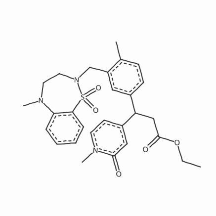 CCOC(=O)CC(c1ccc(C)c(CN2CCN(C)c3ccccc3S2(=O)=O)c1)c1ccn(C)c(=O)c1